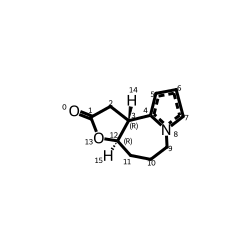 O=C1C[C@@H]2c3cccn3CCC[C@H]2O1